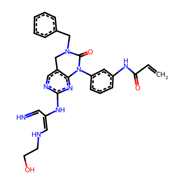 C=CC(=O)Nc1cccc(N2C(=O)N(Cc3ccccc3)Cc3cnc(N/C(C=N)=C/NCCO)nc32)c1